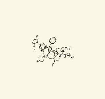 CC(C)(C)OC(=O)N1CC(F)C(CN(C(=O)NCC(O)CO)[C@@H](c2nc(-c3cc(F)ccc3F)cn2Cc2ccccc2)C2CCOCC2)C1